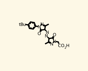 CC1=NN(CC(=O)O)C(=O)C1N=NC1C(=O)N(c2ccc(C(C)(C)C)cc2)N=C1C